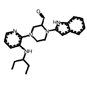 CCC(CC)Nc1cccnc1N1CCN(c2cc3ccccc3[nH]2)C(C=O)C1